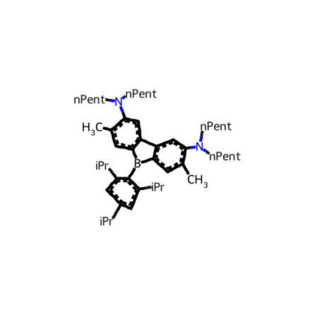 CCCCCN(CCCCC)c1cc2c(cc1C)B(c1c(C(C)C)cc(C(C)C)cc1C(C)C)c1cc(C)c(N(CCCCC)CCCCC)cc1-2